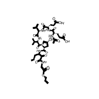 C=CCOC(=O)CNC(=O)C(=O)C(CCC)NC(=O)[C@@H]1C[C@@H](O)CN1C(=O)[C@@H](NC(=O)[C@@H](NC(=O)[C@H](CCC(=O)O)NC(=O)[C@H](CCC(=O)O)NC(C)=O)C(C)C)C(C)C